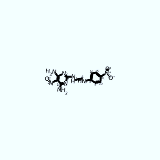 Nc1nc(NCCNc2ccc([N+](=O)[O-])cc2)nc(N)c1N=O